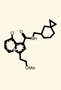 COCCc1cc(C(=O)NCC2CCCC3(CC3)C2)c2c(Cl)cccn12